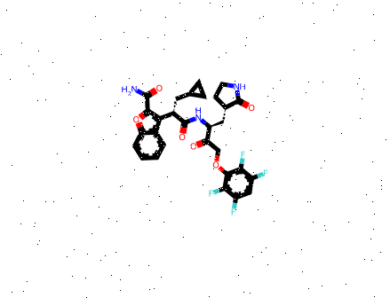 NC(=O)c1oc2ccccc2c1[C@H](CC1CC1)C(=O)N[C@@H](C[C@@H]1CCNC1=O)C(=O)COc1c(F)c(F)cc(F)c1F